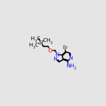 C[Si](C)(C)CCOCn1ncc2c(N)ncc(Br)c21